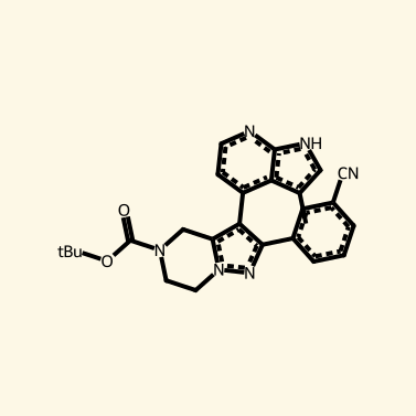 Cc1c[nH]c2nccc(-c3c(-c4cccc(C#N)c4)nn4c3CN(C(=O)OC(C)(C)C)CC4)c12